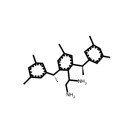 Cc1cc(C)cc([C@@H](C)c2cc(C)cc([C@H](C)c3cc(C)cc(C)c3)c2C(N)CN)c1